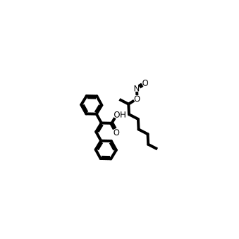 CCCCCCC(C)ON=O.O=C(O)C(=Cc1ccccc1)c1ccccc1